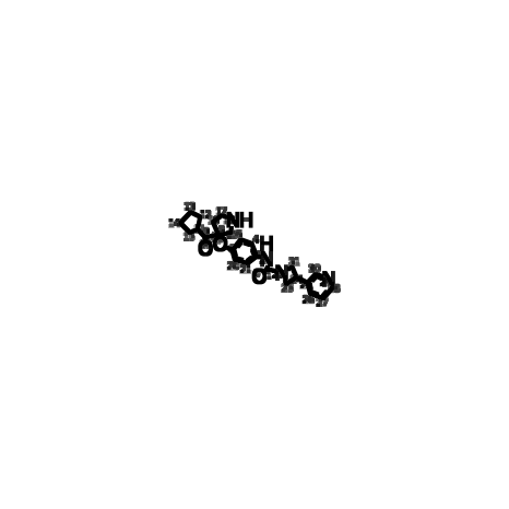 O=C(Nc1ccc(O[C@]2(C(=O)C3CCCC3)CCNC2)cc1)N1CC(c2cccnc2)C1